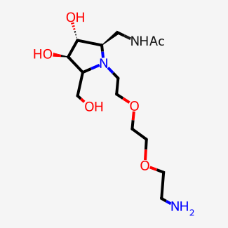 CC(=O)NC[C@@H]1[C@@H](O)[C@H](O)C(CO)N1CCOCCOCCN